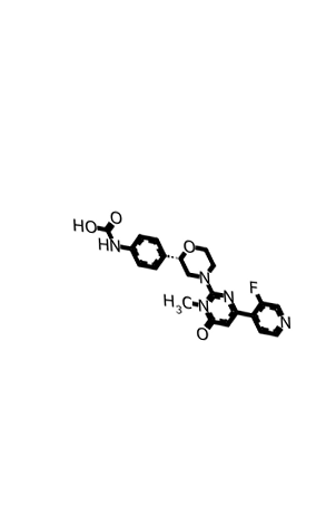 Cn1c(N2CCO[C@@H](c3ccc(NC(=O)O)cc3)C2)nc(-c2ccncc2F)cc1=O